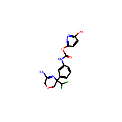 NC1=NC(c2cccc(NC(=O)Oc3ccc(O)nn3)c2)(C(F)F)COC1